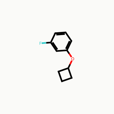 Fc1[c]ccc(OC2CCC2)c1